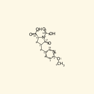 COc1ccc(CC2C[C@@H](C(=O)O)N(C(=O)O)C2=O)cn1